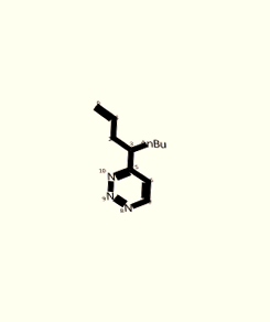 C=CCC(CCCC)c1ccnnn1